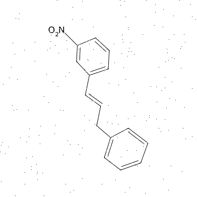 O=[N+]([O-])c1cccc(/C=C/Cc2ccccc2)c1